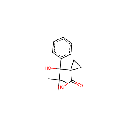 CC(C)(C)C(O)(c1ccccc1)C1(C(=O)O)CC1